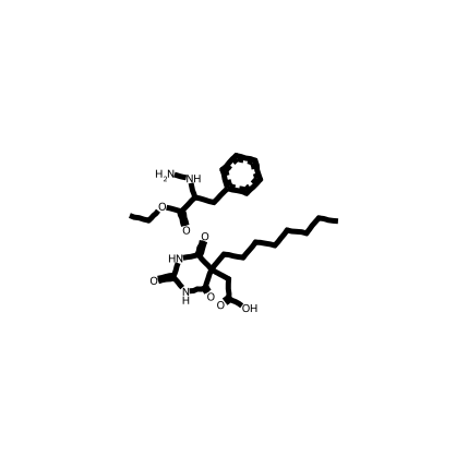 CCCCCCCCC1(CC(=O)O)C(=O)NC(=O)NC1=O.CCOC(=O)C(Cc1ccccc1)NN